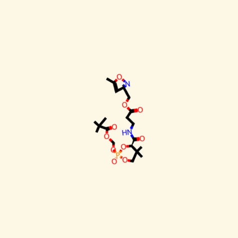 Cc1cc(COC(=O)CCNC(=O)[C@@H]2OP(=O)(OCOC(=O)C(C)(C)C)OCC2(C)C)no1